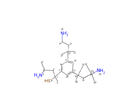 CC(N)CC(C)(S)c1cc(C(C)(C)CCN)cc(C(C)(C)CC(C)(C)N)c1